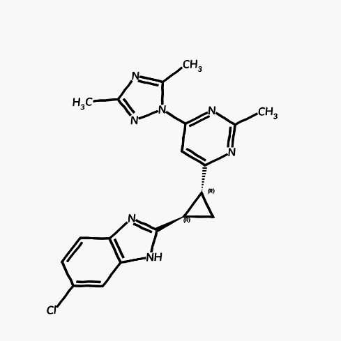 Cc1nc([C@@H]2C[C@H]2c2nc3ccc(Cl)cc3[nH]2)cc(-n2nc(C)nc2C)n1